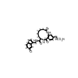 O=C(O)Nc1ccc2c(c1)NC(=O)CCCCCC(C(=O)NCc1csc3ccc(Cl)cc13)NC2=O